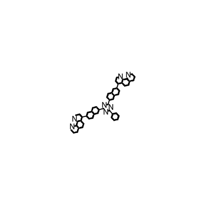 c1ccc(-c2nc(-c3ccc4cc(-c5ccnc6c5ccc5cccnc56)ccc4c3)nc(-c3ccc4cc(-c5ccnc6c5ccc5cccnc56)ccc4c3)n2)cc1